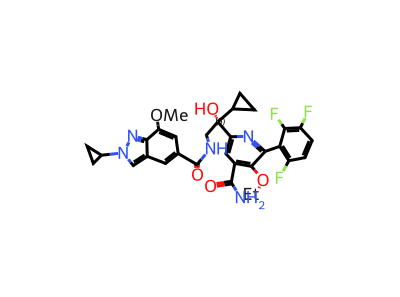 CCOc1c(C(N)=O)cc([C@@](O)(CNC(=O)c2cc(OC)c3nn(C4CC4)cc3c2)C2CC2)nc1-c1c(F)ccc(F)c1F